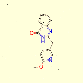 COc1ccc(Cc2nc3ccccc3c(=O)[nH]2)cn1